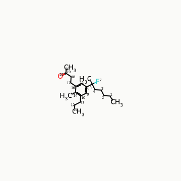 CCCCCC(C)(F)c1cc(CCC)c(C)c(CCC(C)=O)c1